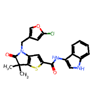 CC1(C)C(=O)N(Cc2coc(Cl)c2)c2cc(C(=O)Nc3c[nH]c4ccccc34)sc21